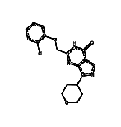 O=c1[nH]c(COc2ccccc2Cl)nc2c1cnn2C1CCOCC1